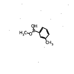 COB(O)c1cccc(C)c1